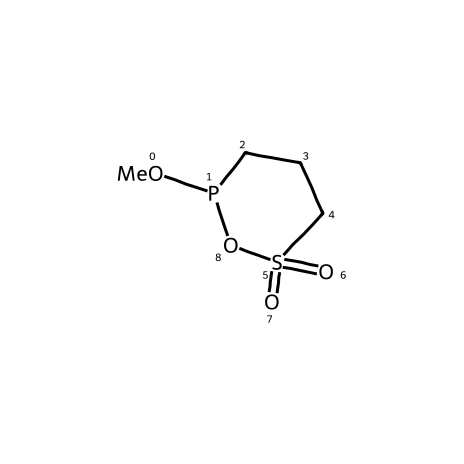 COP1CCCS(=O)(=O)O1